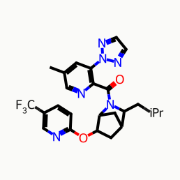 Cc1cnc(C(=O)N2C(CC(C)C)C3CC(Oc4ccc(C(F)(F)F)cn4)C2C3)c(-n2nccn2)c1